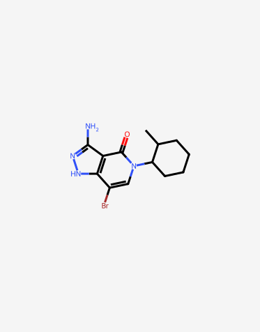 CC1CCCCC1n1cc(Br)c2[nH]nc(N)c2c1=O